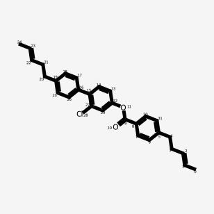 C/C=C/CCc1ccc(C(=O)Oc2ccc(-c3ccc(CC/C=C/C)cc3)c(Cl)c2)cc1